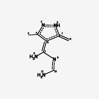 C=c1[nH]nc(C)/c1=C(N)/N=C\N